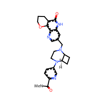 CNC(=O)c1ccc(N2CCN(Cc3cnc4c5c(c(=O)[nH]c4c3)CCCO5)C3CC[C@H]32)cn1